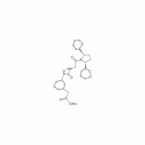 COC(=O)Cc1cccc(NC(=O)NCC(=O)N2[C@@H](c3ccccc3)CC[C@H]2c2ccccc2)c1